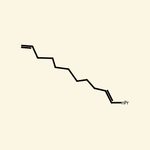 [CH2]CCC=CCCCCCCCC=C